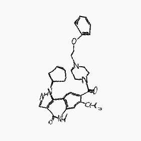 Cc1cc2[nH]c(=O)c3cnn(C4CCCC4)c3c2cc1C(=O)N1CCN(CCOc2ccccc2)CC1